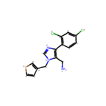 NCc1c(-c2ccc(Cl)cc2Cl)ncn1Cc1ccsc1